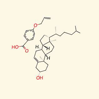 C=CCOc1ccc(C(=O)O)cc1.CC(C)CCC[C@@H](C)[C@H]1CC[C@H]2[C@@H]3CC=C4C[C@@H](O)CC[C@]4(C)[C@H]3CC[C@]12C